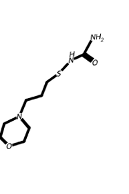 NC(=O)NSCCCN1CCOCC1